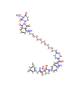 CN1C(=O)CCC(N2C(=O)c3cccc(NCCOCCOCCOCCOCCN4CCN(C(=O)c5cc6cc(N7CC[C@](O)(C(=O)NCc8cc(F)cc(F)c8)C7=O)ccc6[nH]5)CC4)c3C2=O)C1=O